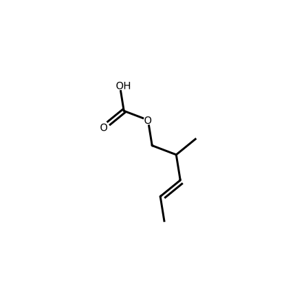 CC=CC(C)COC(=O)O